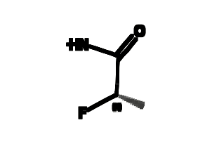 C[C@H](F)C([NH])=O